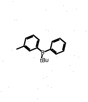 Cc1cccc(B(c2ccccc2)C(C)(C)C)c1